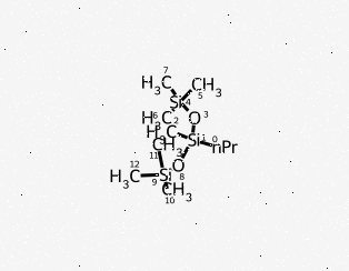 C[CH]C[Si](C)(O[Si](C)(C)C)O[Si](C)(C)C